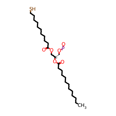 CCCCCCCCCCCCC(=O)O[C@@H](COP=O)COC(=O)CCCCCCCCCCS